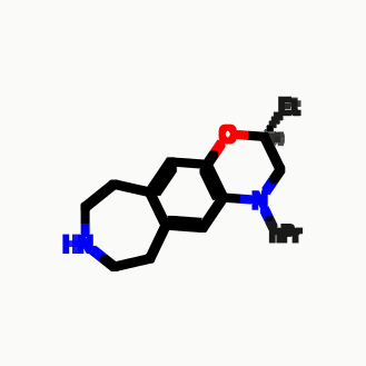 CCCN1C[C@@H](CC)Oc2cc3c(cc21)CCNCC3